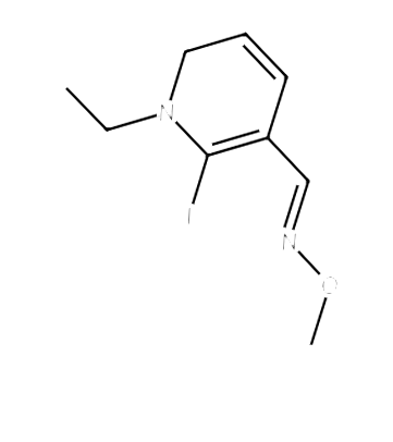 CCN1CC=CC(C=NOC)=C1I